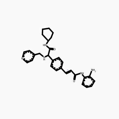 Nc1ccccc1NC(=O)/C=C/c1ccc(C(NCc2ccncc2)C(=O)NC2CCCCC2)cc1